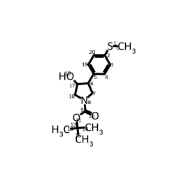 CSc1ccc(C2CN(C(=O)OC(C)(C)C)CC2O)cc1